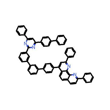 c1ccc(-c2ccc(-c3cc(-c4ccccc4)nc(-c4cccc(-c5cccc(-c6ccc(-c7cc(-c8ccccc8)nc8c7ccc7ccc(-c9ccccc9)nc78)cc6)c5)c4)n3)cc2)cc1